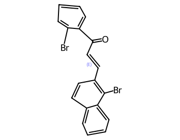 O=C(/C=C/c1ccc2ccccc2c1Br)c1ccccc1Br